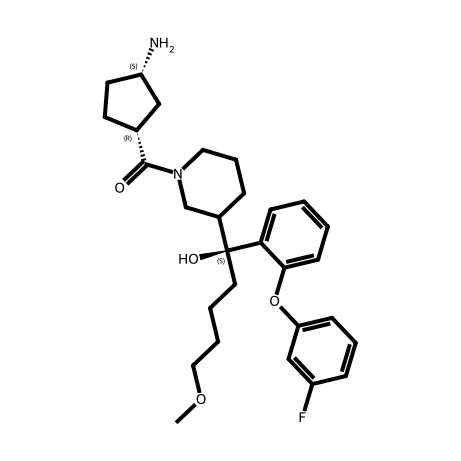 COCCCC[C@@](O)(c1ccccc1Oc1cccc(F)c1)C1CCCN(C(=O)[C@@H]2CC[C@H](N)C2)C1